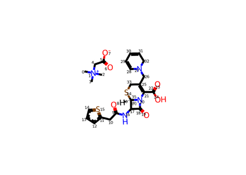 C[N+](C)(C)CC(=O)[O-].O=C(Cc1cccs1)NC1C(=O)N2C(C(=O)O)=C(CN3C=CC=CC3)CS[C@H]12